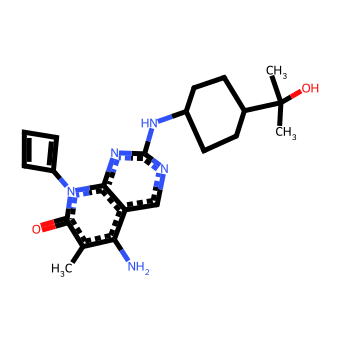 Cc1c(N)c2cnc(NC3CCC(C(C)(C)O)CC3)nc2n(C2=CC=C2)c1=O